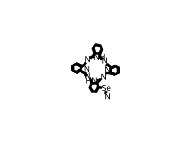 N#C[Se]c1cccc2c3nc4nc(nc5[nH]c(nc6nc(nc([nH]3)c12)-c1ccccc1-6)c1ccccc51)-c1ccccc1-4